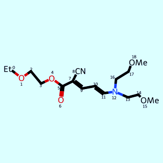 CCOCCOC(=O)/C(C#N)=C/C=C/N(CCOC)CCOC